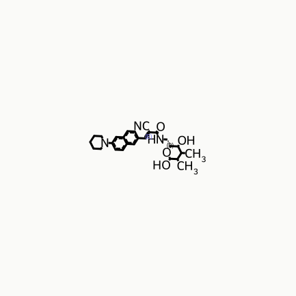 CC1C(O)O[C@H](CNC(=O)/C(C#N)=C/c2ccc3cc(N4CCCCC4)ccc3c2)C(O)C1C